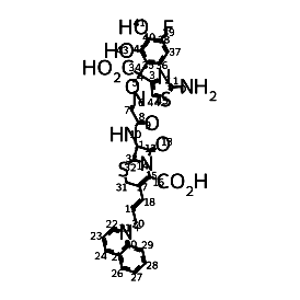 Nc1nc(C(ON=CC(=O)NC2C(=O)N3C(C(=O)O)=C(C=CC[n+]4cccc5ccccc54)CSC23)(C(=O)O)c2ccc(F)c(O)c2O)cs1